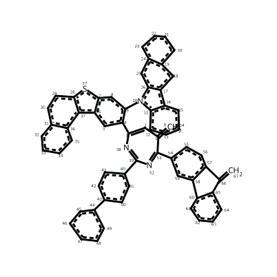 C=C1C=C(c2cc3c(cc2-n2c4ccccc4c4cc5ccccc5cc42)sc2ccc4ccccc4c23)N=C(c2ccc(-c3ccccc3)cc2)N=C1c1ccc2c(c1)-c1ccccc1C2=C